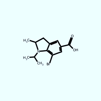 CC(C)N1c2c(Br)cc(C(=O)O)cc2CC1C